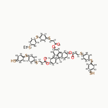 CCSc1ccc(Sc2ccc(SC=CC(=O)Oc3ccc(C(C)(c4ccc(OC(=O)C=CSc5ccc(Sc6ccc(S)cc6)cc5)cc4)c4ccc(OC(=O)C=CSc5ccc(Sc6ccc(S)cc6)cc5)cc4)cc3)cc2)cc1